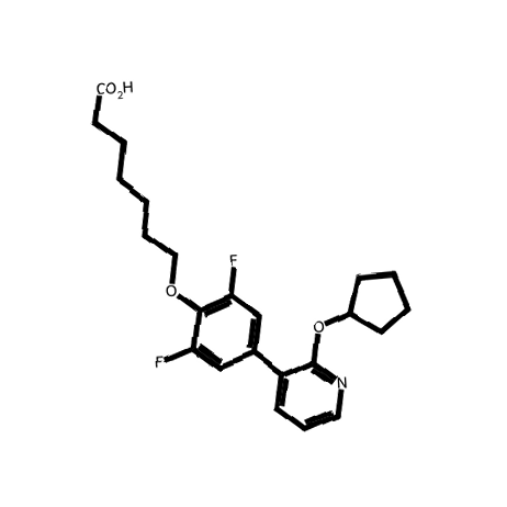 O=C(O)CCCCCCOc1c(F)cc(-c2cccnc2OC2CCCC2)cc1F